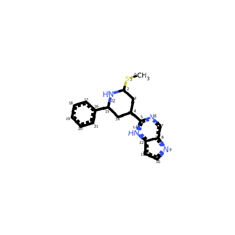 CSC1CC(c2ncc3nccc-3[nH]2)CC(c2ccccc2)N1